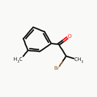 Cc1cccc(C(=O)C(C)Br)c1